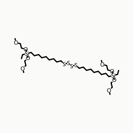 CC[Si](CCCCCCCCCSSSSCCCCCCCCC[Si](CC)(OCCOC)OCCOC)(OCCOC)OCCOC